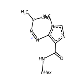 CCCCCCNC(=O)c1ncn(C)c1/N=N\N(C)C=O